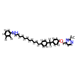 CC(=O)c1nccc(COc2ccc(C(C)(C)c3ccc(CCCCCCCCCCCNc4cccc(C)c4C)cc3)cc2)n1